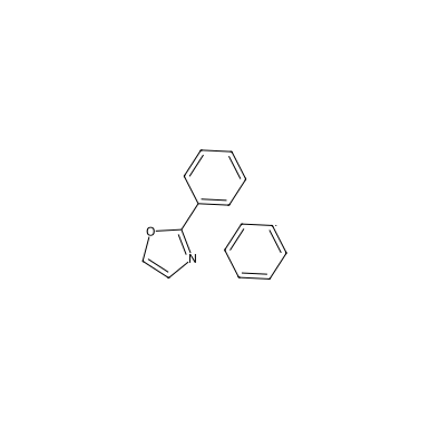 [c]1ccccc1.c1ccc(-c2ncco2)cc1